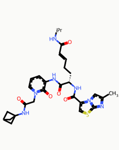 Cc1cn2c(C(=O)N[C@@H](CC/C=C/C(=O)NC(C)C)C(=O)Nc3cccn(CC(=O)NC45CC(C4)C5)c3=O)csc2n1